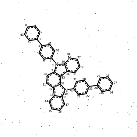 c1ccc(-c2ccc(-n3c4ccc5c6ccccc6n(-c6ccc(-c7ccccc7)cc6)c5c4c4cccnc43)cc2)cc1